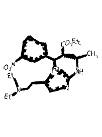 CCOC(=O)C1=C(C)Nc2ncc(CCN(CC)CC)n2C1c1cccc([N+](=O)[O-])c1